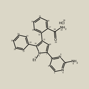 CCn1c(-c2ccnc(N)n2)cc(-c2ccccc2C(N)=O)c1-c1ccccc1.Cl